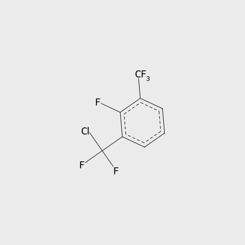 Fc1c(C(F)(F)F)cccc1C(F)(F)Cl